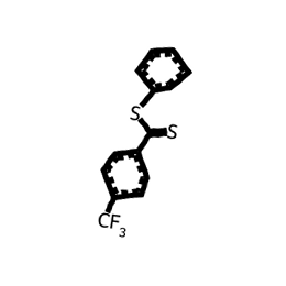 FC(F)(F)c1ccc(C(=S)Sc2ccccc2)cc1